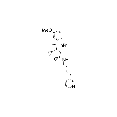 CCCC(C)(c1cccc(OC)c1)C(CC(=O)NCCCCc1cccnc1)C1CC1